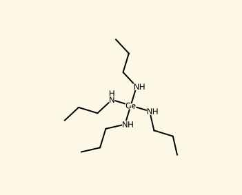 CCC[NH][Ge]([NH]CCC)([NH]CCC)[NH]CCC